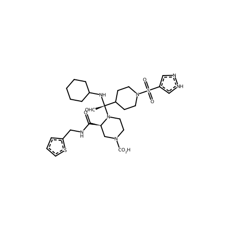 O=C[C@@](NC1CCCCC1)(C1CCN(S(=O)(=O)c2cn[nH]c2)CC1)N1CCN(C(=O)O)C[C@H]1C(=O)NCc1cccs1